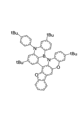 CC(C)(C)c1ccc(N2c3cc(C(C)(C)C)ccc3B3c4c(cc(C(C)(C)C)cc42)-c2c4c(cc5c2oc2ccccc25)Oc2cc(C(C)(C)C)ccc2N34)cc1